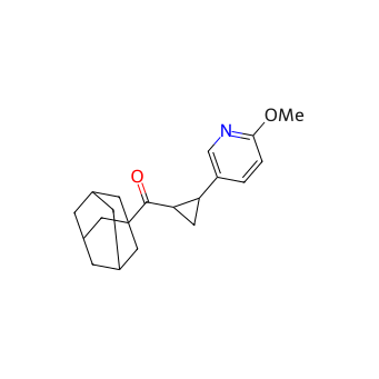 COc1ccc(C2CC2C(=O)C23CC4CC(CC(C4)C2)C3)cn1